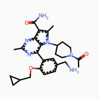 CC(=O)N1CCC(n2c(C)c(C(N)=O)c3nc(C)nc(-c4cc(CN)ccc4OCC4CC4)c32)CC1